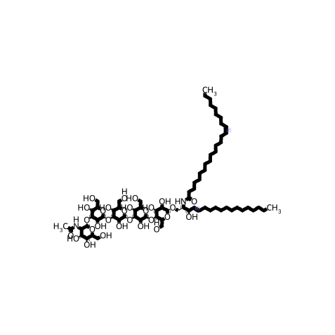 CCCCCCCC/C=C\CCCCCCCCCCCCCC(=O)N[C@@H](CO[C@@H]1OC(CO)[C@@H](O[C@@H]2OC(CO)[C@H](O)[C@H](O[C@H]3OC(CO)[C@H](O)[C@H](O[C@H]4OC(CO)[C@H](O)[C@H](O[C@@H]5OC(CO)[C@H](O)[C@H](O)C5NC(C)=O)C4O)C3O)C2O)[C@H](O)C1O)[C@H](O)/C=C/CCCCCCCCCCCCC